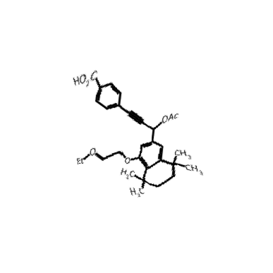 CCOCCOc1cc(C(C#Cc2ccc(C(=O)O)cc2)OC(C)=O)cc2c1C(C)(C)CCC2(C)C